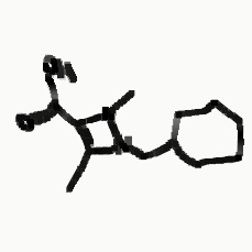 Cc1c(C(=O)O)n(C)n1CC1CCCCC1